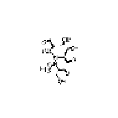 O=C[C@H](CO)NN([C@H](C=O)CO)N(OS)[C@H](C=O)CO